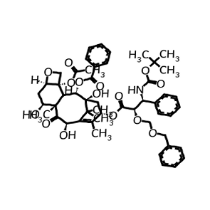 CC(=O)O[C@@]12CO[C@@H]1C[C@H](O)[C@@]1(C)C(=O)[C@H](O)C3=C(C)[C@@H](OC(=O)[C@H](OCOCc4ccccc4)[C@@H](NC(=O)OC(C)(C)C)c4ccccc4)C[C@@](O)([C@@H](OC(=O)c4ccccc4)[C@H]21)C3(C)C